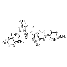 C=C1[C@@H](C)C[C@@H](C(=O)Nc2nc(Br)ccc2C)N1C(=O)Cn1nc(C(C)=O)c2cc(-c3cnc(C)nc3)ccc21